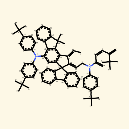 C=C(/C=C\C(=C)C(C)(C)C)N(C/C=C1\C(=C/C)c2c(cc(N(c3ccc(C(C)(C)C)cc3)c3ccc(C(C)(C)C)cc3)c3c2C(C)(C)c2ccccc2-3)C12c1ccccc1-c1ccccc12)c1ccc(C(C)(C)C)cc1